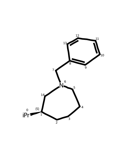 CC(C)[C@@H]1CCCCN(Cc2ccccc2)C1